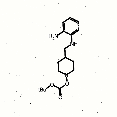 CC(C)(C)OC(=O)ON1CCC(CNc2ccccc2N)CC1